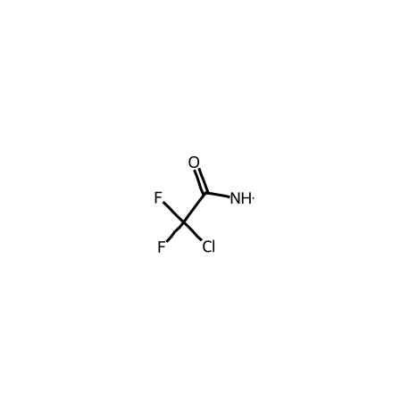 [NH]C(=O)C(F)(F)Cl